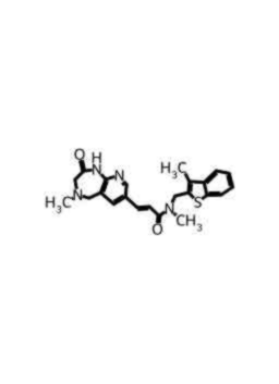 Cc1c(CN(C)C(=O)/C=C/c2cnc3c(c2)CN(C)CC(=O)N3)sc2ccccc12